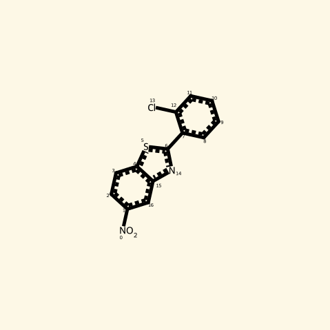 O=[N+]([O-])c1ccc2sc(-c3ccccc3Cl)nc2c1